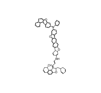 CC1CC=Cc2ccc3c(c21)/C(=C/C=C/NC1=CC2Oc4cc5cc6c(cc5cc4C2C=C1)oc1cc(N(c2ccccc2)c2ccc4c(c2)oc2ccc5ccccc5c24)ccc16)C(CC1C=CC=CC1)O3